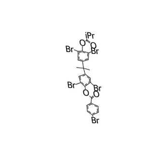 CC(C)C(=O)Oc1c(Br)cc(C(C)(C)c2cc(Br)c(OC(=O)c3ccc(Br)cc3)c(Br)c2)cc1Br